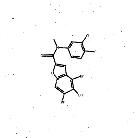 CN(C(=O)c1cc2c(Br)c(O)c(Br)cc2o1)c1ccc(Cl)c(Cl)c1